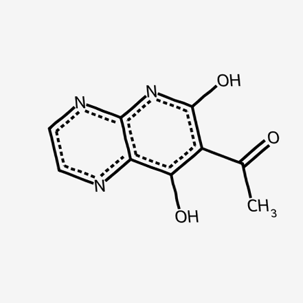 CC(=O)c1c(O)nc2nccnc2c1O